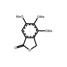 COc1cc2c(c(OC)c1OC)COC2=O